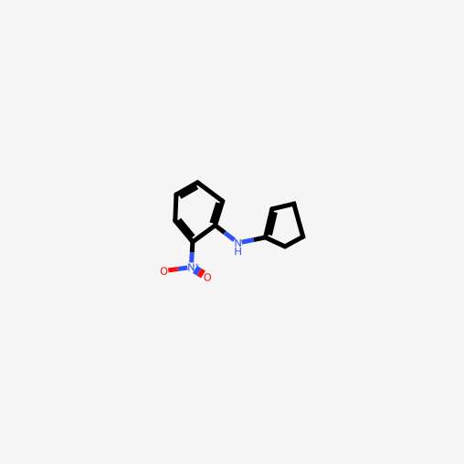 O=[N+]([O-])c1ccccc1NC1=CCCC1